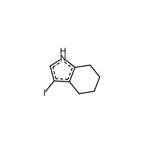 Ic1c[nH]c2c1CCCC2